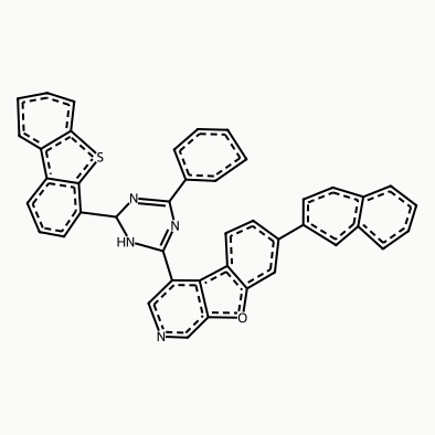 c1ccc(C2=NC(c3cccc4c3sc3ccccc34)NC(c3cncc4oc5cc(-c6ccc7ccccc7c6)ccc5c34)=N2)cc1